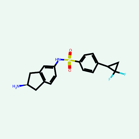 N[C@@H]1Cc2ccc(NS(=O)(=O)c3ccc(C4CC4(F)F)cc3)cc2C1